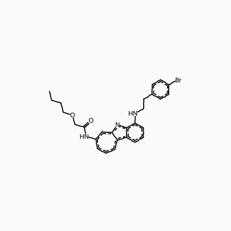 CCCCOCC(=O)Nc1cccc2c3cccc(NCCc4ccc(Br)cc4)c3nc-2c1